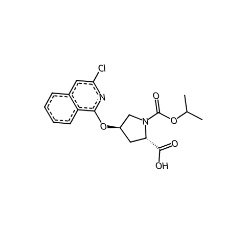 CC(C)OC(=O)N1C[C@H](Oc2nc(Cl)cc3ccccc23)C[C@H]1C(=O)O